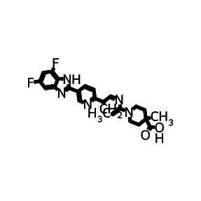 C=C(/C=N\C(=C/C)N1CCC(C)(C(=O)O)CC1)c1ccc(-c2nc3cc(F)cc(F)c3[nH]2)cn1